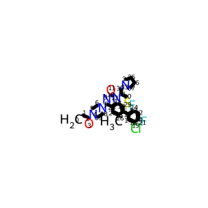 C=CC(=O)N1CCN(c2nc(=O)n3c4c(c(-c5cc(Cl)c(F)cc5F)c(C)cc24)SCC3CN2CCCC2)CC1